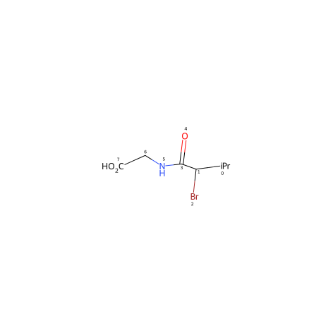 CC(C)C(Br)C(=O)NCC(=O)O